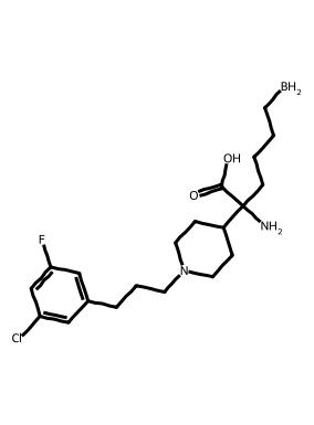 BCCCCC(N)(C(=O)O)C1CCN(CCCc2cc(F)cc(Cl)c2)CC1